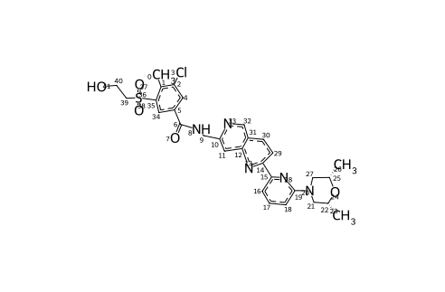 Cc1c(Cl)cc(C(=O)NCc2cc3nc(-c4cccc(N5C[C@@H](C)O[C@@H](C)C5)n4)ccc3cn2)cc1S(=O)(=O)CCO